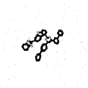 c1ccc(-c2ccc(-c3cc(-c4cccc(-c5ccccc5)c4)nc(-c4cccc5sc6cc(-c7nc8ccccc8s7)ccc6c45)n3)cc2)cc1